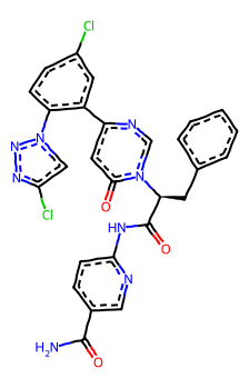 NC(=O)c1ccc(NC(=O)[C@H](Cc2ccccc2)n2cnc(-c3cc(Cl)ccc3-n3cc(Cl)nn3)cc2=O)nc1